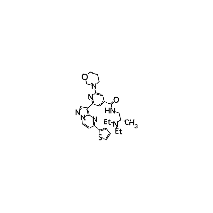 CCN(CC)[C@@H](C)CNC(=O)c1cc(-c2cnn3ccc(-c4cccs4)nc23)nc(N2CCCOC2)c1